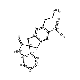 NCCc1cc2c(cc1[N+](=O)[O-])CC1(C2)C(=O)Nc2ncccc21